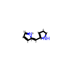 C1=C/C(=C/C2=CCCN2)N=C1